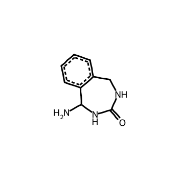 NC1NC(=O)NCc2ccccc21